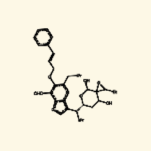 CCCC(c1coc2c(C=O)c(OC/C=C/c3ccccc3)c(CC(C)C)cc12)[C@H]1CC(O)C2(OC2CC)[C@H](O)O1